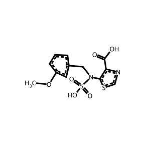 COc1cccc(CN(c2scnc2C(=O)O)S(=O)(=O)O)c1